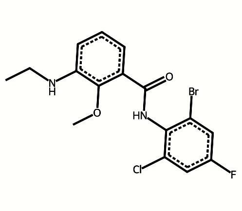 CCNc1cccc(C(=O)Nc2c(Cl)cc(F)cc2Br)c1OC